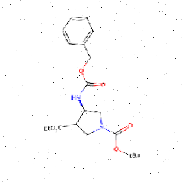 CCOC(=O)C1CN(C(=O)OC(C)(C)C)C[C@@H]1NC(=O)OCc1ccccc1